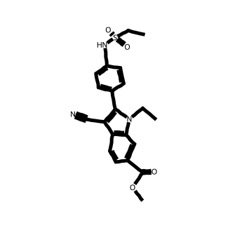 CCn1c(-c2ccc(NS(=O)(=O)CC)cc2)c(C#N)c2ccc(C(=O)OC)cc21